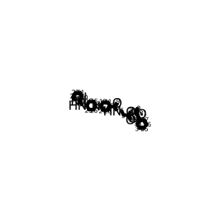 CN(OC(=O)CCNC(=O)c1ccc(N2CCC(Nc3ncccn3)CC2)cc1)S(=O)(=O)c1ccccc1